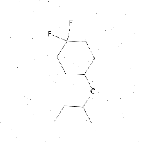 CCC(C)OC1CCC(F)(F)CC1